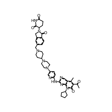 CC(=O)c1c(C)c2cnc(Nc3ccc(N4CCN(C5CCN(Cc6ccc7c(c6)CN(C6CCC(=O)NC6=O)C7=O)CC5)CC4)cn3)nc2n(C2CCCC2)c1=O